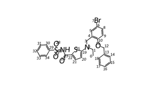 CCN(Cc1cc(Br)ccc1OCc1ccccc1)c1ccc(C(=O)NS(=O)(=O)c2ccccc2)s1